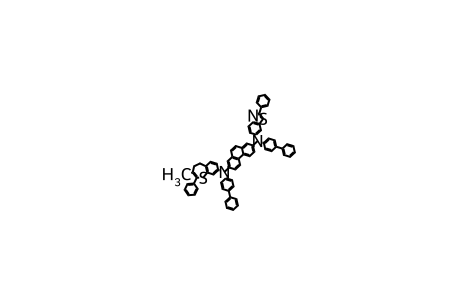 CC1=C(c2ccccc2)Sc2cc(N(c3ccc(-c4ccccc4)cc3)c3ccc4c(ccc5cc(N(c6ccc(-c7ccccc7)cc6)c6ccc7nc(-c8ccccc8)sc7c6)ccc54)c3)ccc2CC1